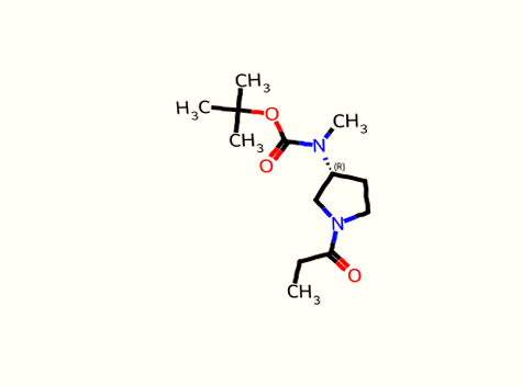 CCC(=O)N1CC[C@@H](N(C)C(=O)OC(C)(C)C)C1